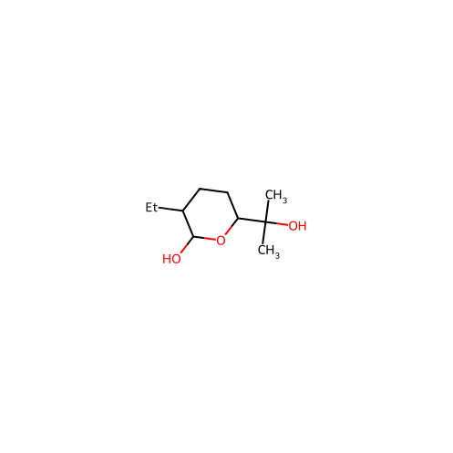 CCC1CCC(C(C)(C)O)OC1O